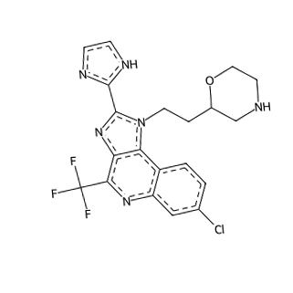 FC(F)(F)c1nc2cc(Cl)ccc2c2c1nc(-c1ncc[nH]1)n2CCC1CNCCO1